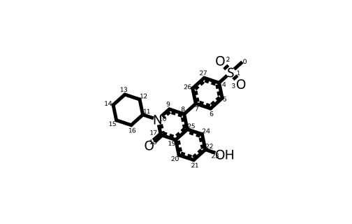 CS(=O)(=O)c1ccc(-c2cn(C3CCCCC3)c(=O)c3ccc(O)cc23)cc1